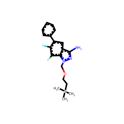 C[Si](C)(C)CCOCn1nc(N)c2cc(-c3ccccc3)c(F)c(F)c21